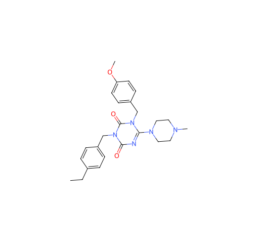 CCc1ccc(Cn2c(=O)nc(N3CCN(C)CC3)n(Cc3ccc(OC)cc3)c2=O)cc1